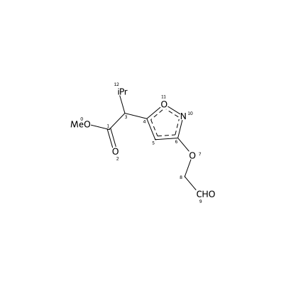 COC(=O)C(c1cc(OCC=O)no1)C(C)C